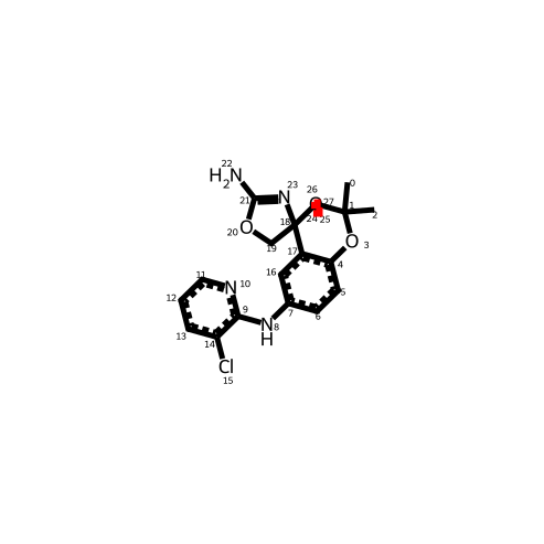 CC1(C)Oc2ccc(Nc3ncccc3Cl)cc2C2(COC(N)=N2)C12COC2